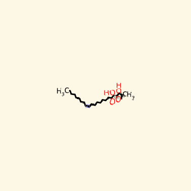 CCCCCCCC/C=C\CCCCCCCC(=O)C(O)[C@H]1OC[C@H](C)[C@H]1O